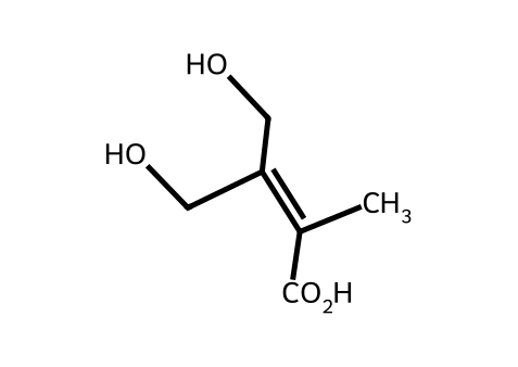 CC(C(=O)O)=C(CO)CO